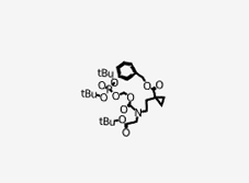 CC(C)(C)OC(=O)CN(CCC1(C(=O)OCc2ccccc2)CC1)C(=O)OCOP(=O)(OC(C)(C)C)OC(C)(C)C